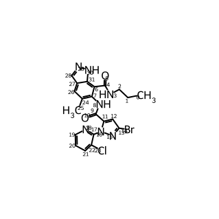 CCCNC(=O)c1c(NC(=O)c2cc(Br)nn2-c2ncccc2Cl)c(C)cc2cn[nH]c12